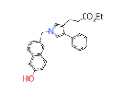 CCOC(=O)CCc1cn(Cc2ccc3cc(O)ccc3c2)cc1-c1ccccc1